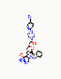 Cc1c(N2Cc3ccccc3[C@@H]2[C@@H]2CC[C@@H](CC(=O)N3CCN(c4ccc(C#N)cn4)CC3)O2)cn[nH]c1=O